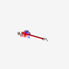 CCC=CCC=CCC=CCC=CCC=CCC=CCCC(=O)NCC(=O)NC1CC(C(=O)O)=CC(OC(CC)CC)C1NC(C)=O